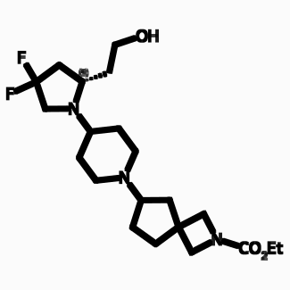 CCOC(=O)N1CC2(CCC(N3CCC(N4CC(F)(F)C[C@@H]4CCO)CC3)C2)C1